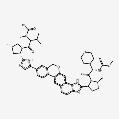 COC(=O)N[C@H](C(=O)N1[C@@H](C)CC[C@H]1c1nc2ccc3cc4c(cc3c2[nH]1)OCc1cc(-c2cnc([C@@H]3C[C@H](C)CN3C(=O)[C@H](C(C)C)N(C)C(=O)O)[nH]2)ccc1-4)C1CCOCC1